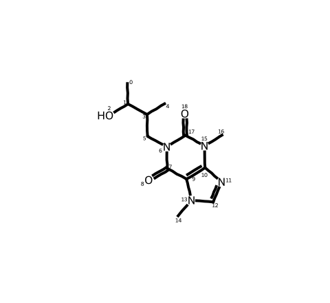 CC(O)C(C)Cn1c(=O)c2c(ncn2C)n(C)c1=O